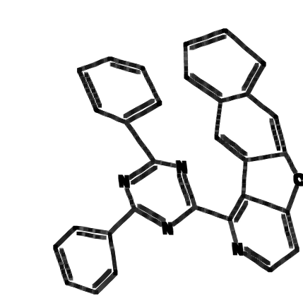 c1ccc(-c2nc(-c3ccccc3)nc(-c3nccc4oc5cc6ccccc6cc5c34)n2)cc1